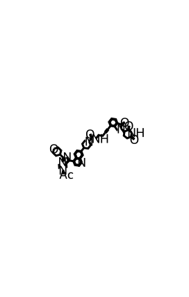 CC(=O)N1CCn2c(C3CCOCC3)nc(-c3ccnc4cc(C5CCN(C(=O)NCCC#Cc6cccc7c6CN(C6CCC(=O)NC6=O)C7=O)CC5)ccc34)c2C1